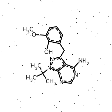 COc1cccc(Cc2nn(C(C)(C)C)c3ncnc(N)c23)c1O